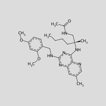 CCCC[C@](C)(CNC(C)=O)Nc1nc(NCc2ccc(OC)cc2OC)nc2cc(C)cnc12